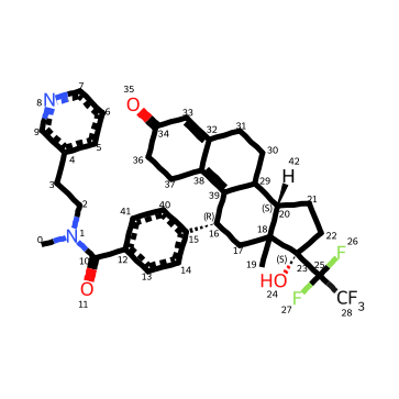 CN(CCc1cccnc1)C(=O)c1ccc([C@H]2CC3(C)[C@@H](CC[C@@]3(O)C(F)(F)C(F)(F)F)C3CCC4=CC(=O)CCC4=C32)cc1